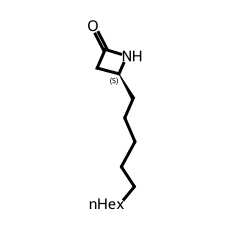 CCCCCCCCCCC[C@H]1CC(=O)N1